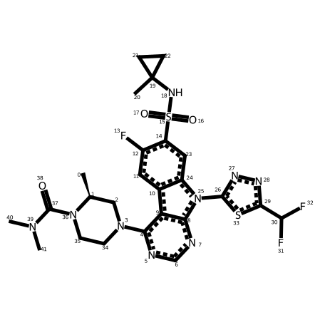 C[C@H]1CN(c2ncnc3c2c2cc(F)c(S(=O)(=O)NC4(C)CC4)cc2n3-c2nnc(C(F)F)s2)CCN1C(=O)N(C)C